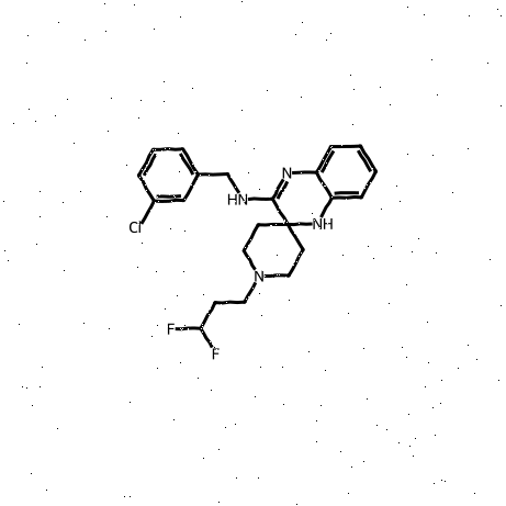 FC(F)CCN1CCC2(CC1)Nc1ccccc1N=C2NCc1cccc(Cl)c1